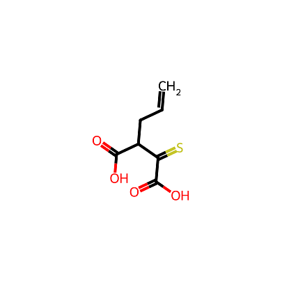 C=CCC(C(=O)O)C(=S)C(=O)O